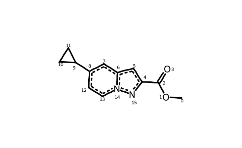 COC(=O)c1cc2cc(C3CC3)ccn2n1